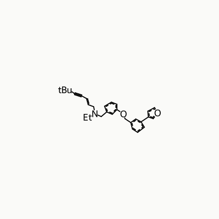 CCN(C/C=C/C#CC(C)(C)C)Cc1cccc(OCc2cccc(-c3ccoc3)c2)c1